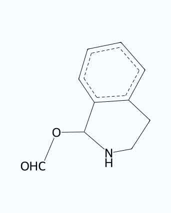 O=COC1NCCc2ccccc21